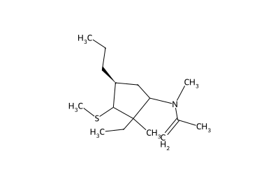 C=C(C)N(C)C1C[C@H](CCC)C(SC)C1(C)CC